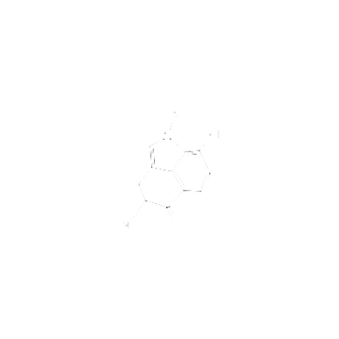 CC(=O)n1cc2c3c(ccc(Cl)c31)C(=O)C(Br)C2